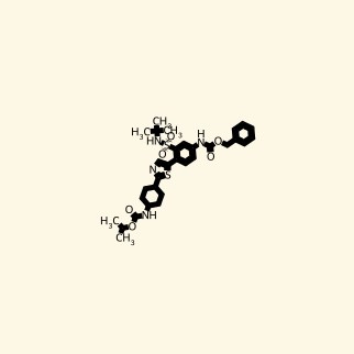 CC(C)OC(=O)NC1CCC(c2ncc(-c3ccc(NC(=O)OCc4ccccc4)cc3S(=O)(=O)NC(C)(C)C)s2)CC1